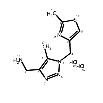 Cc1nc(Cn2nnc(CN)c2C)cs1.Cl.Cl